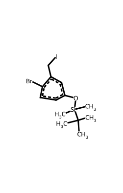 CC(C)(C)[Si](C)(C)Oc1ccc(Br)c(CI)c1